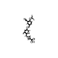 Cc1cc(OCc2ccc(OC(C)C)c(C#N)c2)cnc1CN1CC(C(=O)O)C1